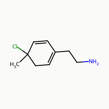 CC1(Cl)C=CC(CCN)=CC1